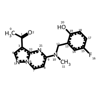 CC(=O)c1cnn2ccc(N(C)Cc3cc(F)ccc3O)nc12